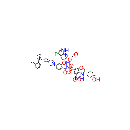 CC(C)c1ccccc1[C@H]1CCCN1C1CC2(CCN(c3ccc(C(=O)NS(=O)(=O)c4cc5c(c([N+](=O)[O-])c4)N[C@@H](C4CCC(C)(O)CC4)CO5)c(Oc4cc5c(F)c[nH]c5nc4OC4COC4)c3)CC2)C1